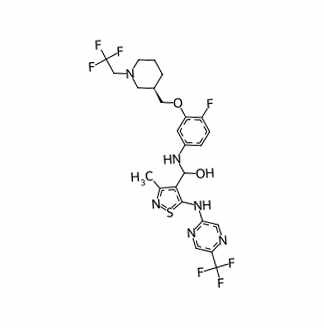 Cc1nsc(Nc2cnc(C(F)(F)F)cn2)c1C(O)Nc1ccc(F)c(OC[C@@H]2CCCN(CC(F)(F)F)C2)c1